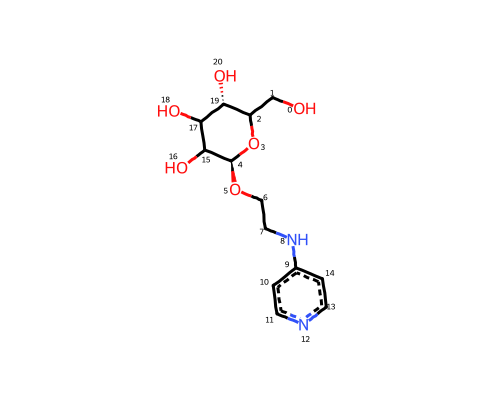 OCC1O[C@@H](OCCNc2ccncc2)C(O)C(O)[C@@H]1O